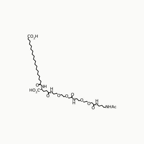 CC(=O)NCCCNC(=O)COCCOCCNC(=O)COCCOCCNC(=O)CC[C@H](NC(=O)CCCCCCCCCCCCCCCCCCC(=O)O)C(=O)O